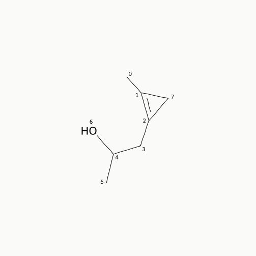 CC1=C(CC(C)O)C1